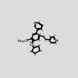 COc1cc(-c2cccnc2)c(CCc2ccncc2)cc1OC1CCCC1